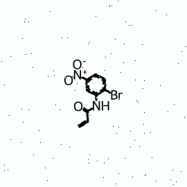 C=CC(=O)Nc1cc([N+](=O)[O-])ccc1Br